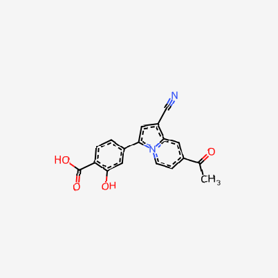 CC(=O)c1ccn2c(-c3ccc(C(=O)O)c(O)c3)cc(C#N)c2c1